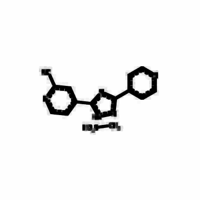 CS(=O)(=O)O.N#Cc1cc(-c2nc(-c3ccncc3)n[nH]2)ccn1